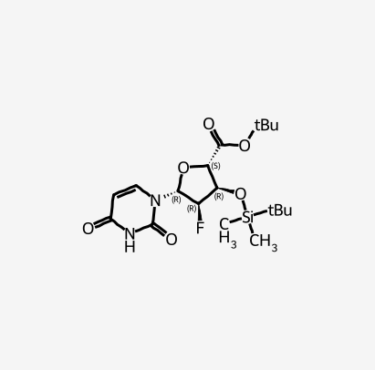 CC(C)(C)OC(=O)[C@H]1O[C@@H](n2ccc(=O)[nH]c2=O)[C@H](F)[C@@H]1O[Si](C)(C)C(C)(C)C